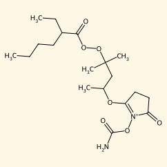 CCCCC(CC)C(=O)OOC(C)(C)CC(C)OC1=[N+](OC(N)=O)C(=O)CC1